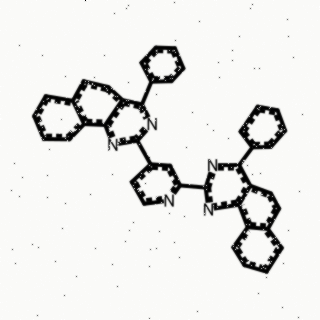 c1ccc(-c2nc(-c3ccnc(-c4nc(-c5ccccc5)c5ccc6ccccc6c5n4)c3)nc3c2ccc2ccccc23)cc1